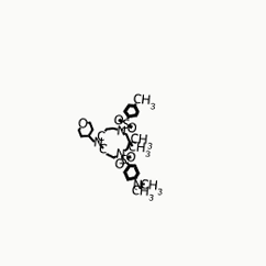 Cc1ccc(S(=O)(=O)N2CCCN(CC3CCOCC3)CCCN(S(=O)(=O)c3ccc(N(C)C)cc3)CC(C)(C)C2)cc1